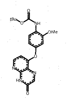 COc1cc(Oc2ccnc3[nH]c(=O)cnc23)ccc1NC(=O)OC(C)(C)C